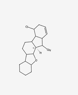 OC1C2C=CCC(Cl)C2C2CCC3C4CCCCC4OC3[C@H]12